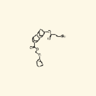 CC(C)(C)CCC(=O)OC1CC2CC1C1C3CC(CC3C(=O)OCOC3CC4CCC3C4)C21